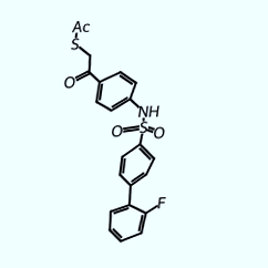 CC(=O)SCC(=O)c1ccc(NS(=O)(=O)c2ccc(-c3ccccc3F)cc2)cc1